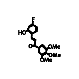 COc1cc(C(=O)C=Cc2ccc(F)cc2O)cc(OC)c1OC